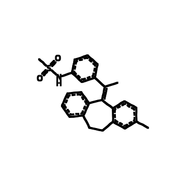 CC(=C1c2ccccc2CCc2cc(C)ccc21)c1cccc(NS(C)(=O)=O)c1